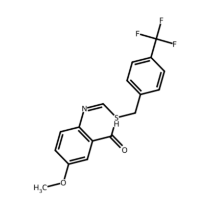 COc1ccc2c(c1)C(=O)[SH](Cc1ccc(C(F)(F)F)cc1)C=N2